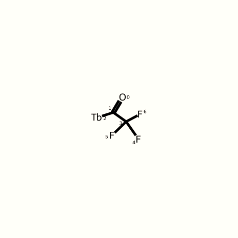 O=[C]([Tb])C(F)(F)F